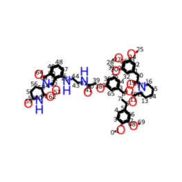 COc1ccc(CC[C@@H](OC(=O)C2CCCCN2C(=O)Cc2cc(OC)c(OC)c(OC)c2)c2cccc(OCC(=O)NCCNc3cccc4c3C(=O)N(C3CCC(=O)NC3=O)C4=O)c2)cc1OC